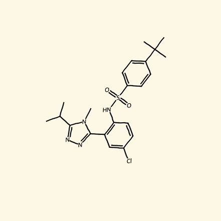 CC(C)c1nnc(-c2cc(Cl)ccc2NS(=O)(=O)c2ccc(C(C)(C)C)cc2)n1C